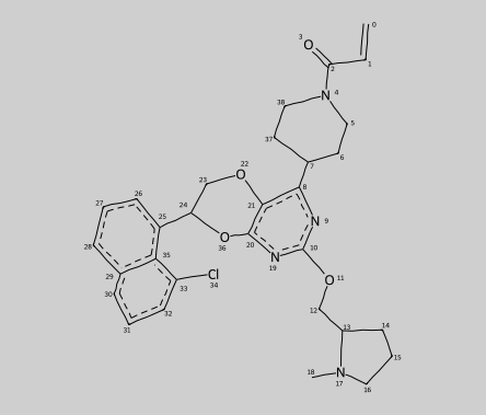 C=CC(=O)N1CCC(c2nc(OCC3CCCN3C)nc3c2OCC(c2cccc4cccc(Cl)c24)O3)CC1